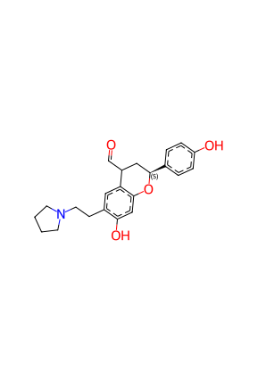 O=CC1C[C@@H](c2ccc(O)cc2)Oc2cc(O)c(CCN3CCCC3)cc21